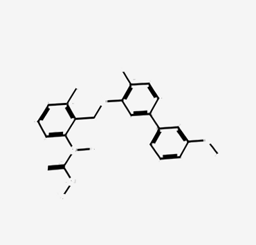 COc1cccc(-c2ccc(Cl)c(OCc3c(C)cccc3N(N)C(=O)NN)c2)c1